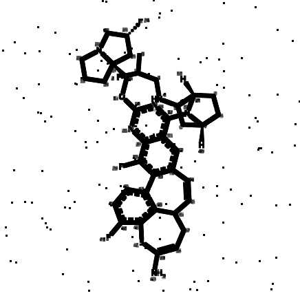 CC(F)CNC1C[C@H]2CC[C@@H]1N2c1nc(OC[C@@]23CCCN2C[C@H](F)C3)nc2c(F)c3c(cc12)C=CC1CC=C(N)Sc2c(F)ccc-3c21